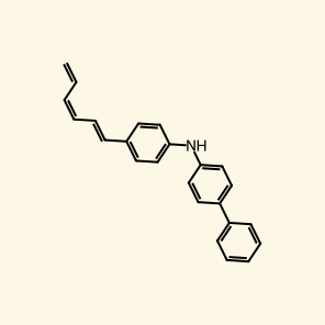 C=C/C=C\C=C\c1ccc(Nc2ccc(-c3ccccc3)cc2)cc1